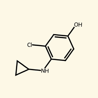 Oc1ccc(NC2CC2)c(Cl)c1